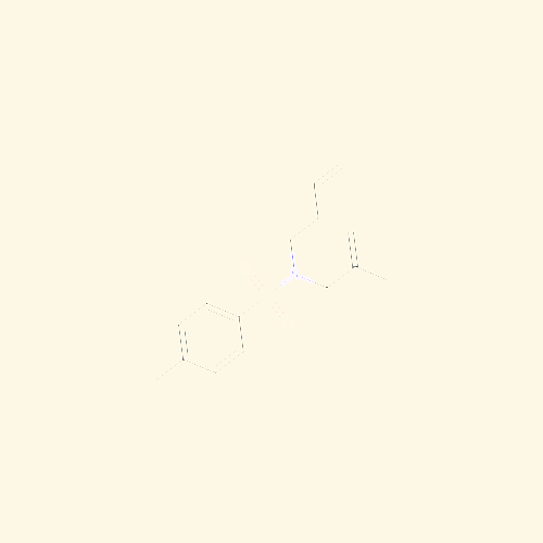 C=CCCN(CC(=C)C)S(=O)(=O)c1ccc(C)cc1